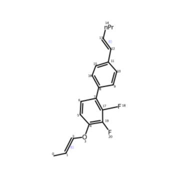 C/C=C/Oc1ccc(-c2ccc(/C=C/CCC)cc2)c(F)c1F